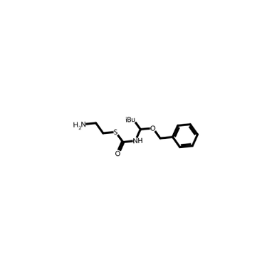 CCC(C)C(NC(=O)SCCN)OCc1ccccc1